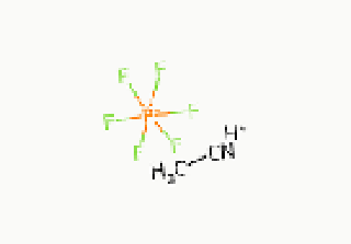 CC#N.F[P-](F)(F)(F)(F)F.[H+]